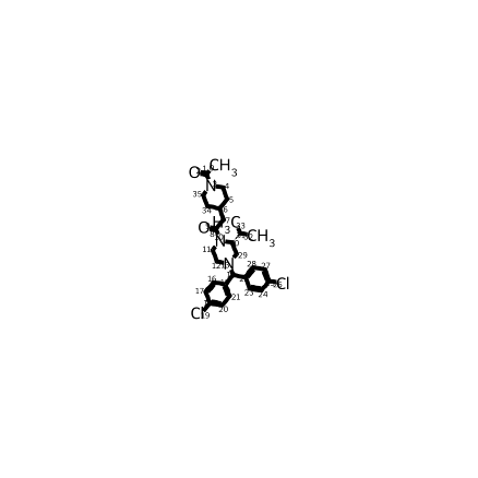 CC(=O)N1CCC(CC(=O)N2CCN(C(c3ccc(Cl)cc3)c3ccc(Cl)cc3)C[C@H]2C(C)C)CC1